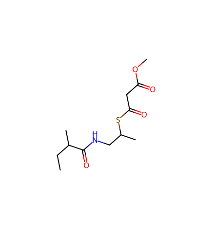 CCC(C)C(=O)NCC(C)SC(=O)CC(=O)OC